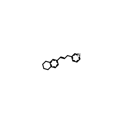 C(=Cc1ccc2c(c1)CCCC2)Cc1cccnc1